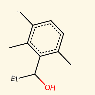 [CH2]c1ccc(C)c(C(O)CC)c1C